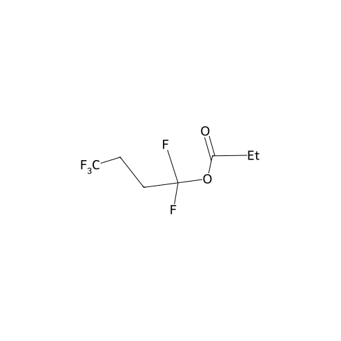 CCC(=O)OC(F)(F)CCC(F)(F)F